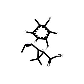 C/C=C\C1C(C)(C)[C@]1(Cc1c(F)c(F)c(C)c(F)c1F)C(=O)O